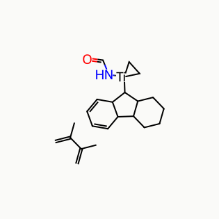 C=C(C)C(=C)C.O=C[NH][Ti]1([CH]2C3C=CC=CC3C3CCCCC32)[CH2][CH2]1